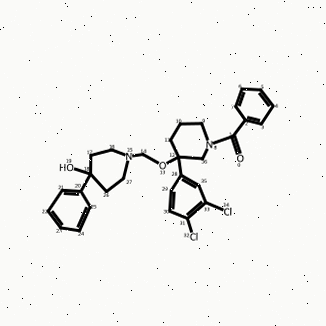 O=C(c1ccccc1)N1CCCC(OCN2CCC(O)(c3ccccc3)CC2)(c2ccc(Cl)c(Cl)c2)C1